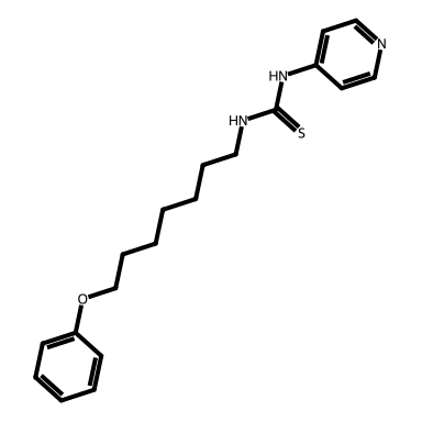 S=C(NCCCCCCCOc1ccccc1)Nc1ccncc1